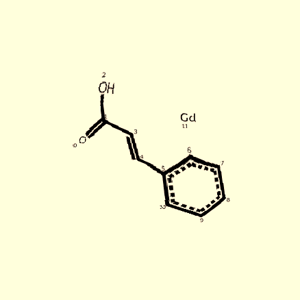 O=C(O)C=Cc1ccccc1.[Gd]